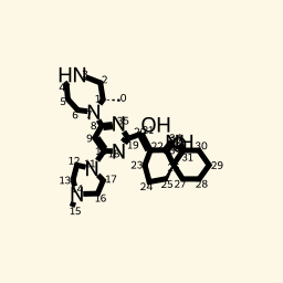 C[C@H]1CNCCCN1c1cc(N2CCN(C)CC2)nc(/C(O)=C2\CCC[C@@]3(CCCCC3=O)C2=N)n1